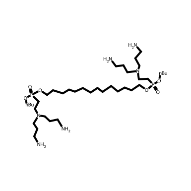 CCCCOP(=O)(CCN(CCCN)CCCN)OCCCCCCCCCCCCCCOP(=O)(CCN(CCCN)CCCN)OCCCC